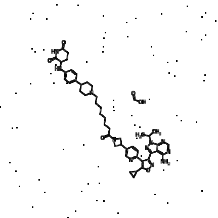 CC(C)n1nc(-c2noc(C3CC3)c2-c2ccc(C3CN(C(=O)CCCCCCCN4CCC(c5ccc(NC6CCC(=O)NC6=O)cc5)CC4)C3)cn2)c2c(N)ncnc21.O=CO